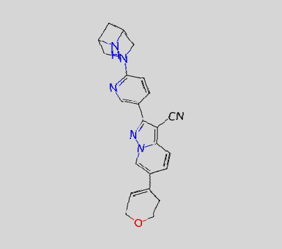 N#Cc1c(-c2ccc(N3CC4CC(C3)N4)nc2)nn2cc(C3=CCOCC3)ccc12